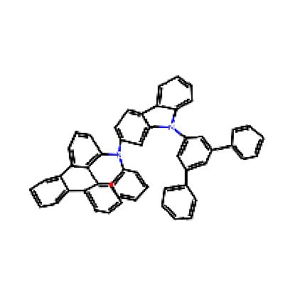 c1ccc(-c2cc(-c3ccccc3)cc(-n3c4ccccc4c4ccc(N(c5ccccc5)c5cccc6c7ccccc7c7ccccc7c56)cc43)c2)cc1